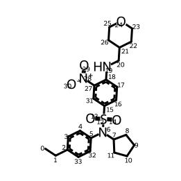 CCc1ccc(N(C2CCCC2)S(=O)(=O)c2ccc(NCC3CCOCC3)c([N+](=O)[O-])c2)cc1